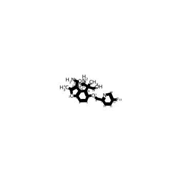 Cc1oc2ccc(OCc3ccc(F)cn3)c(C(C)(CO)C(N)=O)c2c1C(N)=O